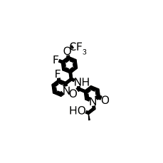 C[C@@H](O)Cn1cc(C(=O)NC(c2ccc(OC(F)(F)F)c(F)c2)c2ncccc2F)ccc1=O